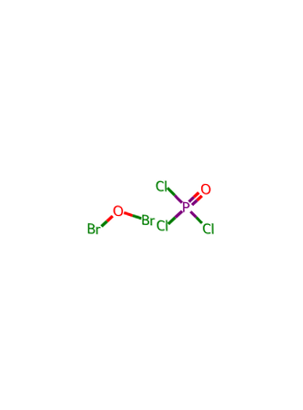 BrOBr.O=P(Cl)(Cl)Cl